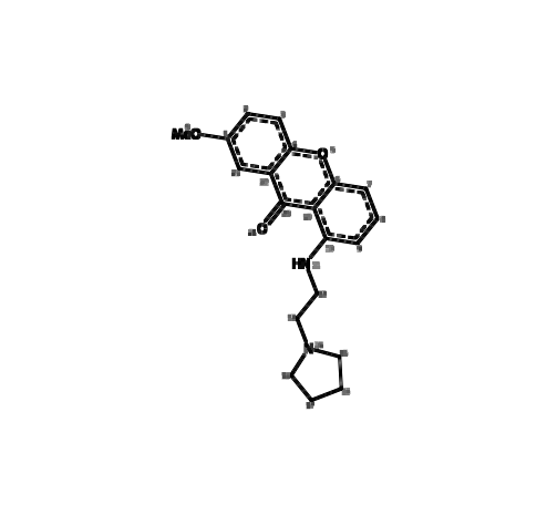 COc1ccc2oc3cccc(NCCN4CCCC4)c3c(=O)c2c1